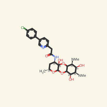 CN[C@@H]1[C@H](O)[C@H](NC)C2O[C@]3(O)C(OC2[C@@H]1O)O[C@H](C)C[C@H]3NC(=O)Cc1ccc(-c2ccc(Cl)cc2)cn1